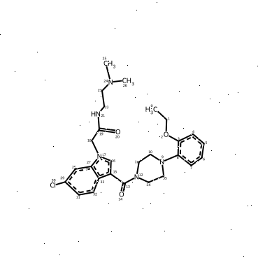 CCOc1ccccc1N1CCN(C(=O)c2cn(CC(=O)NCCN(C)C)c3cc(Cl)ccc23)CC1